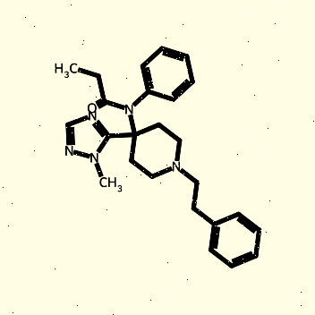 CCC(=O)N(c1ccccc1)C1(c2ncnn2C)CCN(CCc2ccccc2)CC1